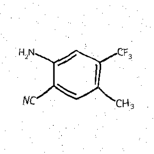 Cc1cc(C#N)c(N)cc1C(F)(F)F